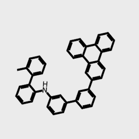 Cc1ccccc1-c1ccccc1Nc1cccc(-c2cccc(-c3ccc4c5ccccc5c5ccccc5c4c3)c2)c1